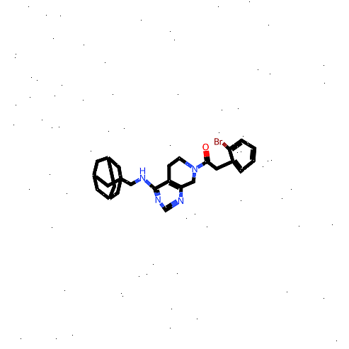 O=C(Cc1ccccc1Br)N1CCc2c(ncnc2NCC23CC4CC(CC(C4)C2)C3)C1